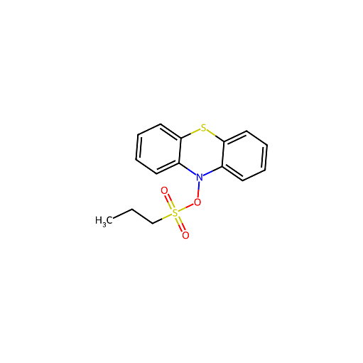 CCCS(=O)(=O)ON1c2ccccc2Sc2ccccc21